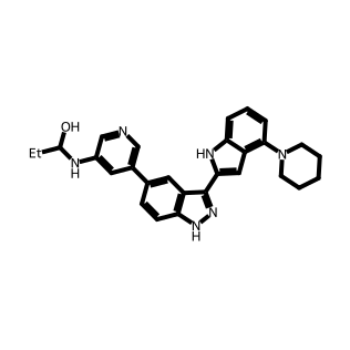 CCC(O)Nc1cncc(-c2ccc3[nH]nc(-c4cc5c(N6CCCCC6)cccc5[nH]4)c3c2)c1